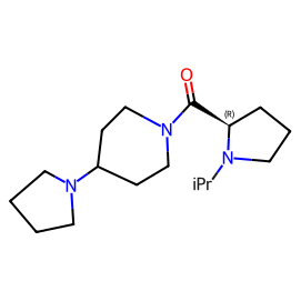 CC(C)N1CCC[C@@H]1C(=O)N1CCC(N2CCCC2)CC1